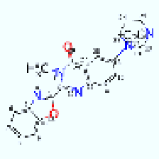 Cn1c(-c2nc3ccccc3o2)nc2ccc(N3CCN4CCC3CC4)cc2c1=O